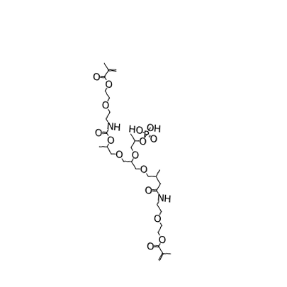 C=C(C)C(=O)OCCOCCNC(=O)CC(C)COCC(COCC(C)OC(=O)NCCOCCOC(=O)C(=C)C)OCC(C)OP(=O)(O)O